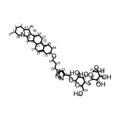 C[C@H]1CCC2[C@@H](C)C3C(CC4C5CC=C6C[C@@H](OCCCn7cc(CO[C@@H]8OC(CO)[C@@H](S[C@@H]9OC%10O[C@@H]%10C(O)[C@@H]9O)[C@H](O)C8O)nn7)CC[C@]6(C)C5CC[C@@]43C)N2C1